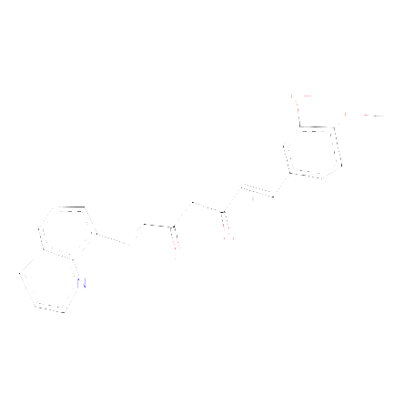 COc1ccc(/C=C/C(=O)CC(=O)/C=C/c2cccc3cccnc23)cc1O